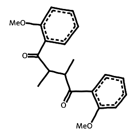 COc1ccccc1C(=O)C(C)C(C)C(=O)c1ccccc1OC